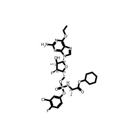 CCOc1nc(N)nc2c1ncn2[C@@H]1O[C@H](COP(=O)(N[C@@H](C)C(=O)OC2CCCCC2)Oc2ccc(F)c(Cl)c2)[C@@H](F)[C@@]1(C)O